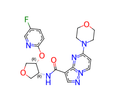 O=C(N[C@@H]1COC[C@@H]1Oc1ccc(F)cn1)c1cnn2ccc(N3CCOCC3)nc12